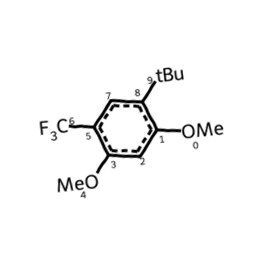 COc1cc(OC)c(C(F)(F)F)cc1C(C)(C)C